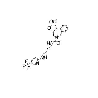 O=C(O)CC1CCN(C(=O)NCCCCNc2ccc(C(F)(F)F)cn2)Cc2ccccc21